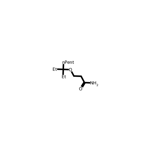 CCCCCC(CC)(CC)OCCC(N)=O